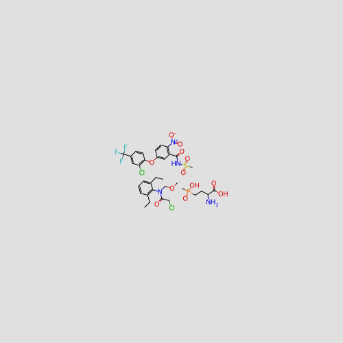 CCc1cccc(CC)c1N(COC)C(=O)CCl.CP(=O)(O)CCC(N)C(=O)O.CS(=O)(=O)NC(=O)c1cc(Oc2ccc(C(F)(F)F)cc2Cl)ccc1[N+](=O)[O-]